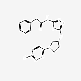 O=C(Cc1ccccc1)Nc1nnc(O[C@H]2CCN(c3ccc(Cl)nn3)C2)s1